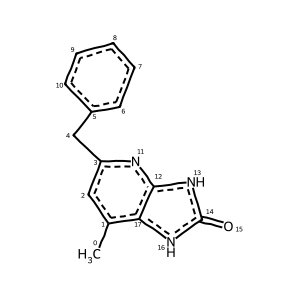 Cc1cc(Cc2ccccc2)nc2[nH]c(=O)[nH]c12